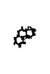 C1=CC2=CC=C3ON=CN=C3N2C=C1